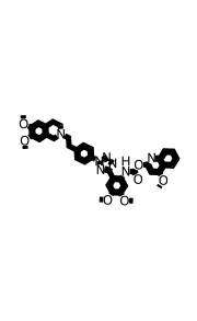 COc1cc2c(cc1OC)CN(CCc1ccc(-n3nnc(-c4cc(OC)c(OC)cc4NC(=O)Oc4cc(OC)c5ccccc5n4)n3)cc1)CC2